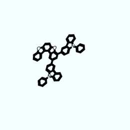 c1ccc(-n2c3ccccc3c3cc(-c4cc(-c5ccc6c(c5)c5ccccc5n6-c5ccccc5)c5oc6ccc7oc8ccccc8c7c6c5c4)ccc32)cc1